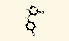 Clc1ccc(Oc2cc(Cl)ncn2)cc1